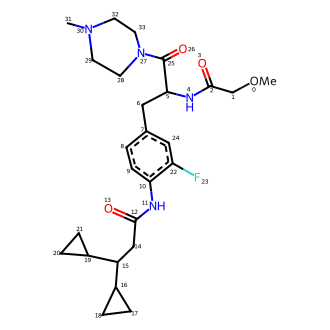 COCC(=O)NC(Cc1ccc(NC(=O)CC(C2CC2)C2CC2)c(F)c1)C(=O)N1CCN(C)CC1